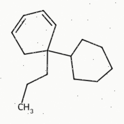 CCCC1(C2CCCCC2)C=CC=CC1